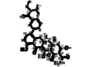 CCN(C(=O)c1cccc(-c2ccc(O)c3c2C[C@H]2C[C@H]4CC(O)=C(C(N)=O)C(=O)[C@@]4(O)C(O)=C2C3=O)c1)N(C)C